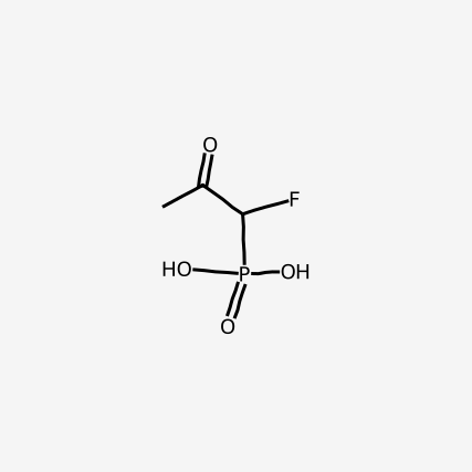 CC(=O)C(F)P(=O)(O)O